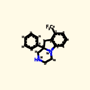 FC(F)(F)c1cccc2c1CC1(c3ccccc3)CNCCN21